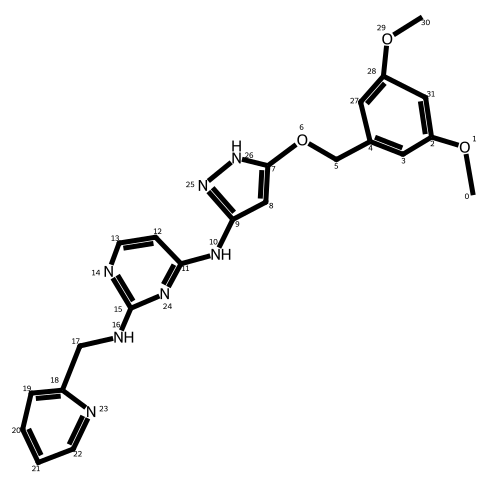 COc1cc(COc2cc(Nc3ccnc(NCc4ccccn4)n3)n[nH]2)cc(OC)c1